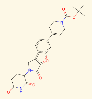 CC(C)(C)OC(=O)N1CC=C(c2ccc3c4c(oc3c2)C(=O)N(C2CCC(=O)NC2=O)C4)CC1